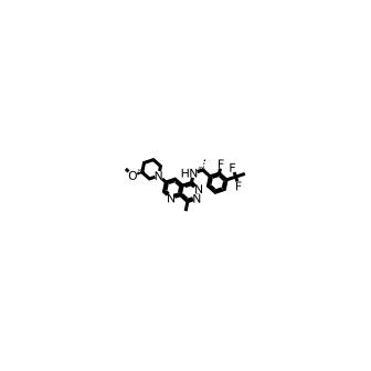 CO[C@H]1CCCN(c2cnc3c(C)nnc(N[C@H](C)c4cccc(C(C)(F)F)c4F)c3c2)C1